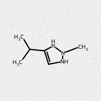 CC(C)C1=CNN(C)N1